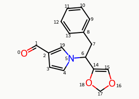 O=Cc1ccn(C(Cc2ccccc2)C2=COCO2)c1